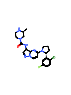 C[C@H]1CN(C(=O)NC2C=NN3C=CC(N4CCC[C@@H]4c4cc(F)ccc4Cl)=NC23)CCN1